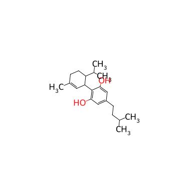 CC1=CC(c2c(O)cc(CCC(C)C)cc2O)C(C(C)C)CC1